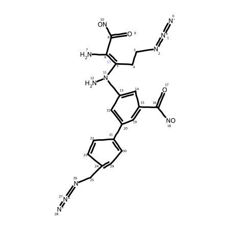 [N-]=[N+]=NCC/C(=C(/N)C(=O)N=O)N(N)c1cc(C(=O)N=O)cc(-c2ccc(CN=[N+]=[N-])cc2)c1